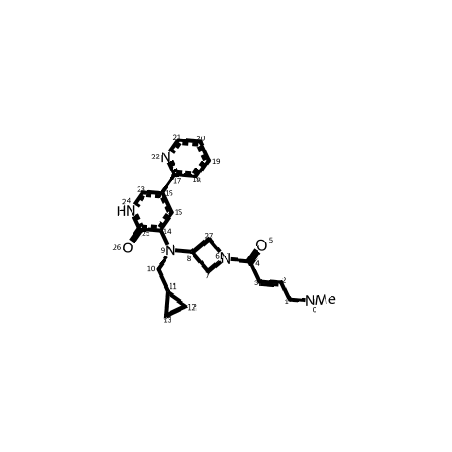 CNCC=CC(=O)N1CC(N(CC2CC2)c2cc(-c3ccccn3)c[nH]c2=O)C1